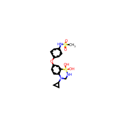 CS(=O)(=O)Nc1ccc(Oc2ccc3c(c2)S(O)(O)NCN3C2CC2)cc1